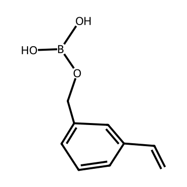 C=Cc1cccc(COB(O)O)c1